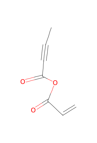 C=CC(=O)OC(=O)C#CC